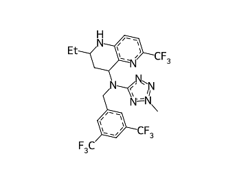 CCC1CC(N(Cc2cc(C(F)(F)F)cc(C(F)(F)F)c2)c2nnn(C)n2)c2nc(C(F)(F)F)ccc2N1